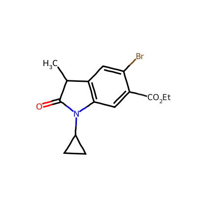 CCOC(=O)c1cc2c(cc1Br)C(C)C(=O)N2C1CC1